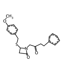 COc1ccc(CSC2CC(=O)N2CC(=O)CCc2ccccc2)cc1